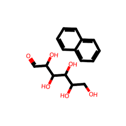 O=CC(O)C(O)C(O)C(O)CO.c1ccc2ccccc2c1